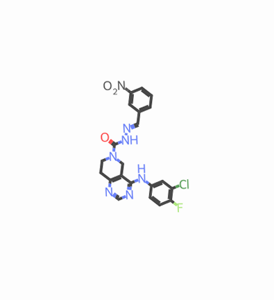 O=C(N/N=C/c1cccc([N+](=O)[O-])c1)N1CCc2ncnc(Nc3ccc(F)c(Cl)c3)c2C1